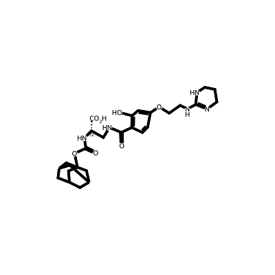 O=C(N[C@@H](CNC(=O)c1ccc(OCCNC2=NCCCN2)cc1O)C(=O)O)OC12CC3CC(CC(C3)C1)C2